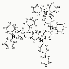 c1ccc(-c2ccc(-n3c4ccc(N(c5ccccc5)c5ccc6c(c5)c5ccccc5n6-c5ccccc5)cc4c4cc(N(c5ccccc5)c5ccc6c(c5)c5ccccc5n6-c5ccccc5)ccc43)cc2)cc1